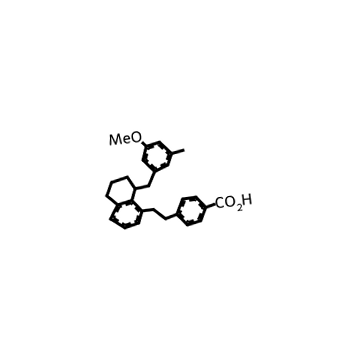 COc1cc(C)cc(CC2CCCc3cccc(CCc4ccc(C(=O)O)cc4)c32)c1